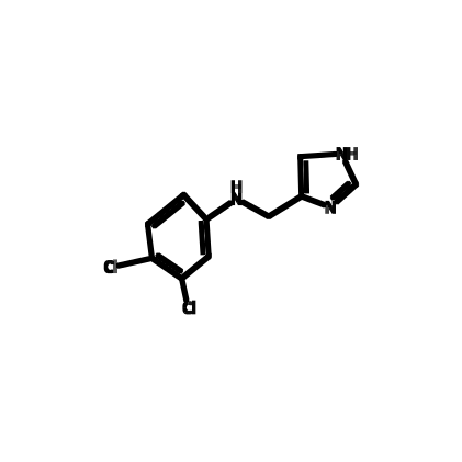 Clc1ccc(NCc2c[nH]cn2)cc1Cl